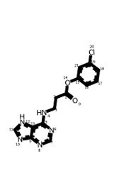 O=C(CCNc1ncnc2nc[nH]c12)Oc1cccc(Cl)c1